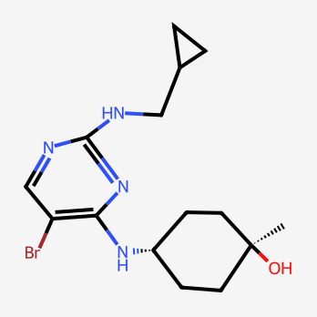 C[C@]1(O)CC[C@H](Nc2nc(NCC3CC3)ncc2Br)CC1